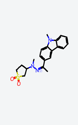 C/C(=N/N(C)C1CCS(=O)(=O)C1)c1ccc2c(c1)c1ccccc1n2C